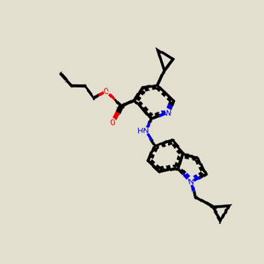 CCCCOC(=O)c1cc(C2CC2)cnc1Nc1ccc2c(ccn2CC2CC2)c1